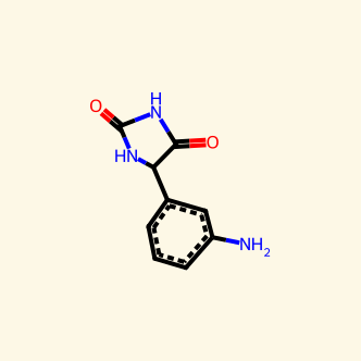 Nc1cccc(C2NC(=O)NC2=O)c1